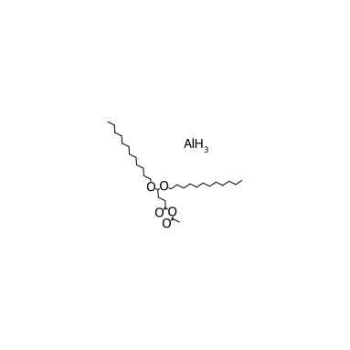 CCCCCCCCCCCCOC(CCC(=O)OC(C)=O)OCCCCCCCCCCCC.[AlH3]